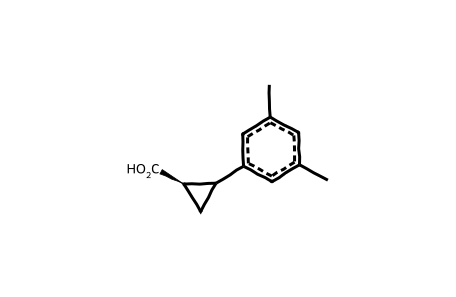 Cc1cc(C)cc(C2C[C@H]2C(=O)O)c1